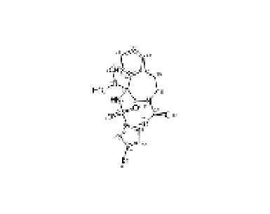 CN(C)C1(NS(=O)(=O)c2ccc(Br)s2)CN(C(=O)O)CCc2ccccc21